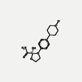 NC(=O)[C@]1(O)OCCN1c1ccc(C2CC[S+]([O-])CC2)cc1